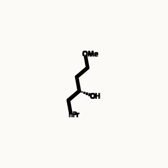 CCCC[C@@H](O)CCOC